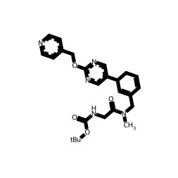 CN(CC1=CC(c2cnc(OCc3ccncc3)nc2)CC=C1)C(=O)CNC(=O)OC(C)(C)C